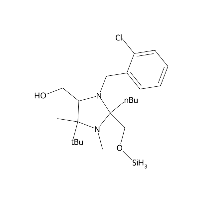 CCCCC1(CO[SiH3])N(Cc2ccccc2Cl)C(CO)C(C)(C(C)(C)C)N1C